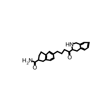 NC(=O)C1CCc2cc(CCCC(=O)C3Cc4ccccc4CN3)ccc2C1